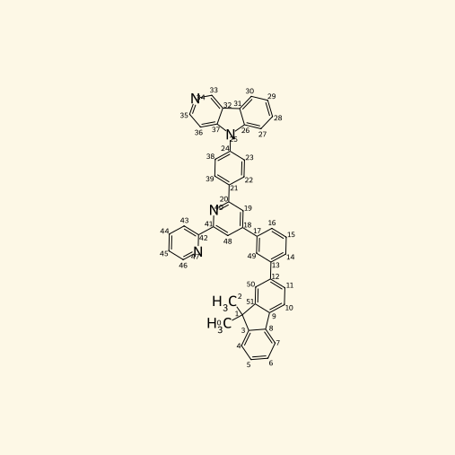 CC1(C)c2ccccc2-c2ccc(-c3cccc(-c4cc(-c5ccc(-n6c7ccccc7c7cnccc76)cc5)nc(-c5ccccn5)c4)c3)cc21